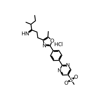 CCC(C)C(=N)CCc1nc(-c2ccc(-c3ncc(S(C)(=O)=O)cn3)cc2)oc1C.Cl